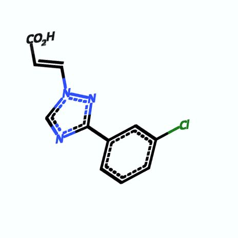 O=C(O)/C=C/n1cnc(-c2cccc(Cl)c2)n1